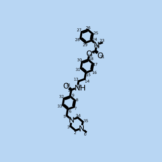 CN1CCN(Cc2ccc(C(=O)NCCc3ccc(OC(=O)N(C)c4ccccc4)cc3)cc2)CC1